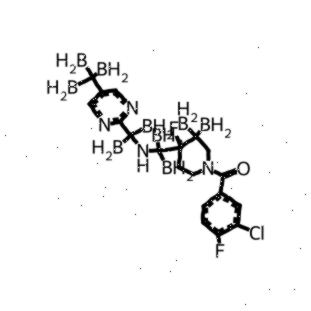 BC(B)(B)c1cnc(C(B)(B)NC(B)(B)C2(F)CCN(C(=O)c3ccc(F)c(Cl)c3)CC2(B)B)nc1